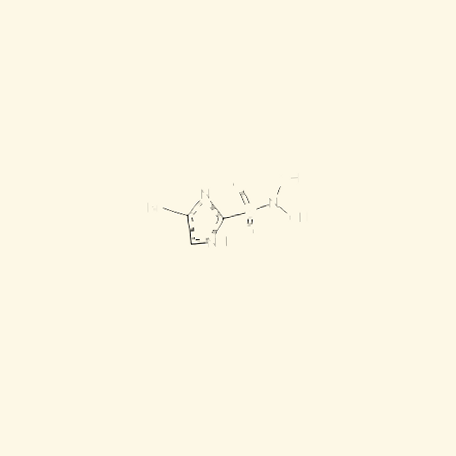 CN(C)S(=O)(=O)c1nc(Br)c[nH]1